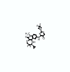 Cn1c(=O)c2c(c3cc(Nc4nc(N5CC(F)(F)C5)ncc4Cl)ccc31)N[C@@H](C1CC1)C(F)(F)CO2